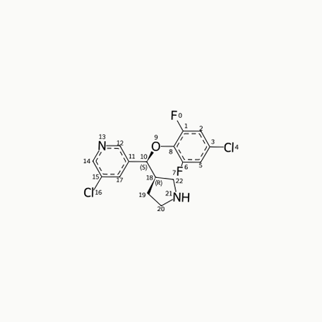 Fc1cc(Cl)cc(F)c1O[C@H](c1cncc(Cl)c1)[C@@H]1CCNC1